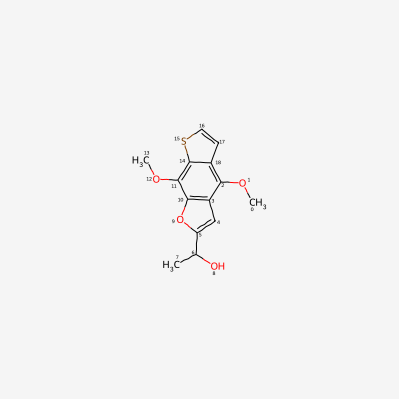 COc1c2cc(C(C)O)oc2c(OC)c2sccc12